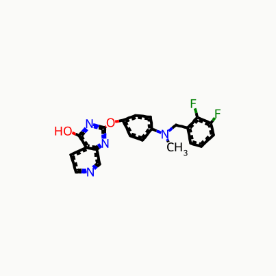 CN(Cc1cccc(F)c1F)c1ccc(Oc2nc(O)c3ccncc3n2)cc1